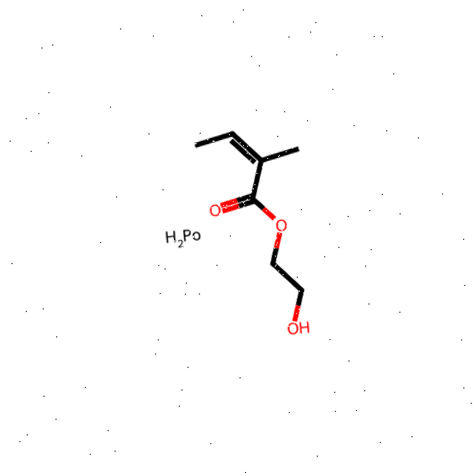 CC=C(C)C(=O)OCCO.[PoH2]